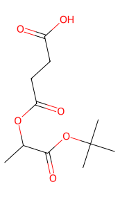 CC(OC(=O)CCC(=O)O)C(=O)OC(C)(C)C